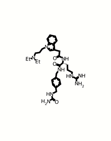 CCN(CC)CCCn1cc(CC(=O)N[C@H](CCCNC(=N)N)C(=O)NCc2ccc(CNC(N)=O)cc2)c2ccccc21